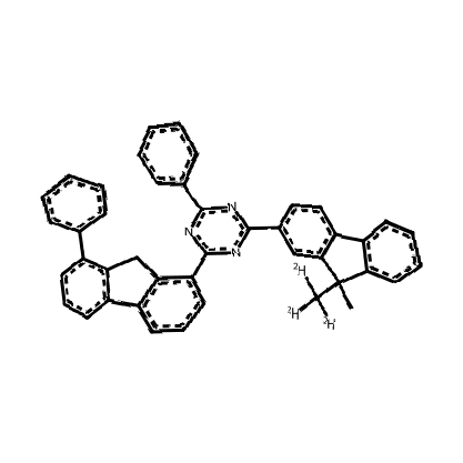 [2H]C([2H])([2H])C1(C)c2ccccc2-c2ccc(-c3nc(-c4ccccc4)nc(-c4cccc5c4Cc4c(-c6ccccc6)cccc4-5)n3)cc21